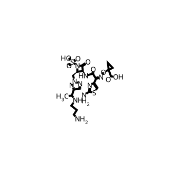 CC(NCCCN)c1cnn(C[C@@H]2[C@H](NC(=O)/C(=N\OC3(C(=O)O)CC3)c3csc(N)n3)C(=O)N2S(=O)(=O)O)n1